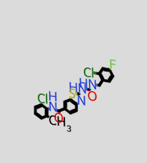 Cc1cccc(Cl)c1NC(=O)c1ccc2nc(NC(=O)NCc3ccc(F)cc3Cl)sc2c1